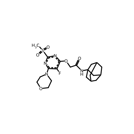 CS(=O)(=O)c1nc(OCC(=O)NC23CC4CC(CC(C4)C2)C3)c(F)c(N2CCOCC2)n1